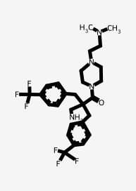 CN(C)CCN1CCN(C(=O)C(CN)(Cc2ccc(C(F)(F)F)cc2)Cc2ccc(C(F)(F)F)cc2)CC1